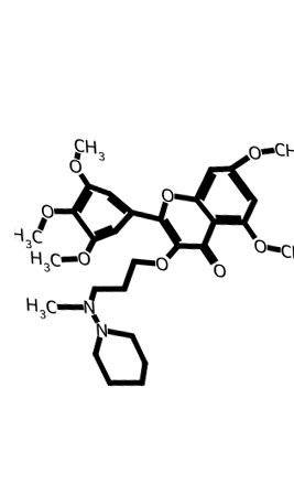 COc1cc(OC)c2c(=O)c(OCCCN(C)N3CCCCC3)c(-c3cc(OC)c(OC)c(OC)c3)oc2c1